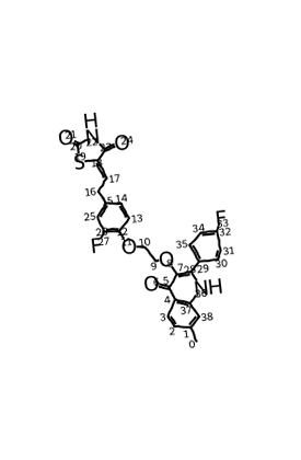 Cc1ccc2c(=O)c(OCCOc3ccc(CC=C4SC(=O)NC4=O)cc3F)c(-c3ccc(F)cc3)[nH]c2c1